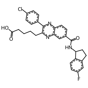 O=C(O)CCCCc1nc2cc(C(=O)NC3CCc4cc(F)ccc43)ccc2nc1-c1ccc(Cl)cc1